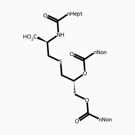 CCCCCCCCCC(=O)OC[C@H](CSC[C@H](NC(=O)CCCCCCC)C(=O)O)OC(=O)CCCCCCCCC